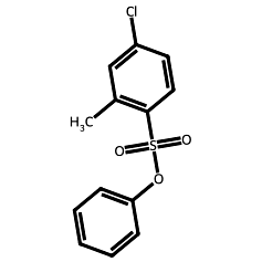 Cc1cc(Cl)ccc1S(=O)(=O)Oc1ccccc1